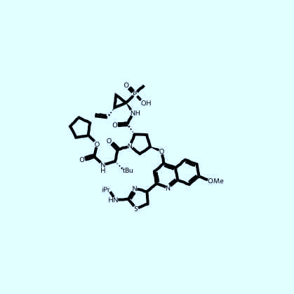 C=C[C@@H]1C[C@]1(NC(=O)[C@@H]1C[C@@H](Oc2cc(C3CSC(NC(C)C)=N3)nc3cc(OC)ccc23)CN1C(=O)[C@@H](NC(=O)OC1CCCC1)C(C)(C)C)P(C)(=O)O